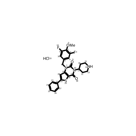 COc1c(F)cc(Cn2c(=O)n(C3CCNCC3)c(=O)c3sc(-c4ccccc4)cc32)cc1F.Cl